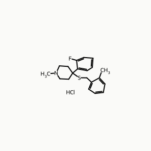 Cc1ccccc1CSC1(c2ccccc2F)CCN(C)CC1.Cl